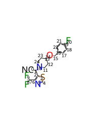 N#CC(c1scnc1C(F)F)N1CCC(OCc2ccc(F)cc2)CC1